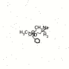 C=CCCO[Si](Cc1ccccc1)(OCC)OCC.[Na]